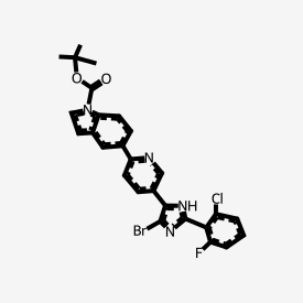 CC(C)(C)OC(=O)n1ccc2cc(-c3ccc(-c4[nH]c(-c5c(F)cccc5Cl)nc4Br)cn3)ccc21